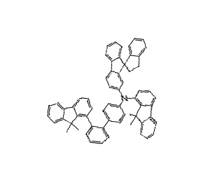 CC1(C)c2ccccc2-c2cccc(-c3ccccc3-c3ccc(N(c4ccc5c(c4)C4(CCc6ccccc64)c4ccccc4-5)c4cccc5c4C(C)(C)c4ccccc4-5)cc3)c21